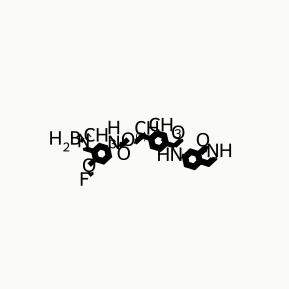 BN(C)Cc1cc(NC(=O)OC[C@H](C)c2ccc(C(C=O)Nc3ccc4cc[nH]c(=O)c4c3)cc2C)ccc1OCF